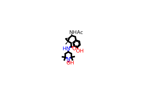 CC(=O)N[C@@H](Cc1ccc(O)cc1)[C@@H]1C[C@@]1(C)[C@H](C)C(=O)NC1CC(C)(C)N(O)C(C)(C)C1